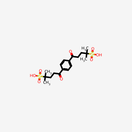 CC(C)(CCC(=O)c1ccc(C(=O)CCC(C)(C)S(=O)(=O)O)cc1)S(=O)(=O)O